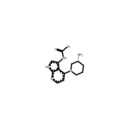 CC(C)C(=O)Nc1c[nH]c2nccc(N3CCC[C@@H](N)C3)c12